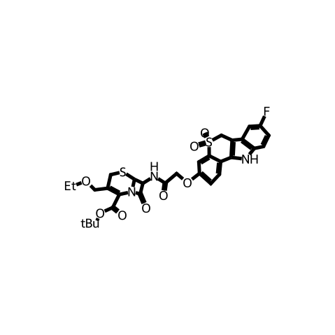 CCOCC1=C(C(=O)OC(C)(C)C)N2C(=O)C(NC(=O)COc3ccc4c(c3)S(=O)(=O)Cc3c-4[nH]c4ccc(F)cc34)C2SC1